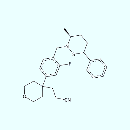 C[C@H]1CCC(c2ccccc2)SN1Cc1ccc(C2(CCC#N)CCOCC2)cc1F